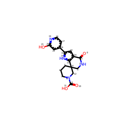 O=C1NCC2(CCCN(C(=O)O)C2)c2[nH]c(-c3ccnc(O)c3)cc21